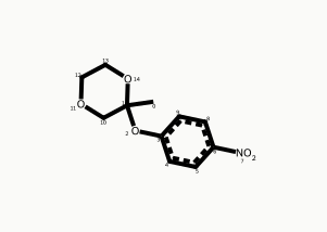 CC1(Oc2ccc([N+](=O)[O-])cc2)COCCO1